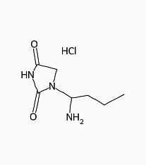 CCCC(N)N1CC(=O)NC1=O.Cl